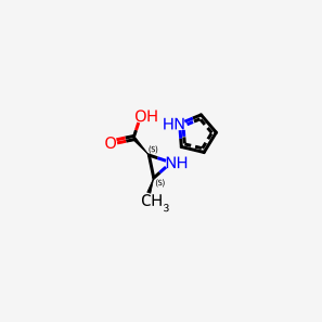 C[C@@H]1N[C@@H]1C(=O)O.c1cc[nH]c1